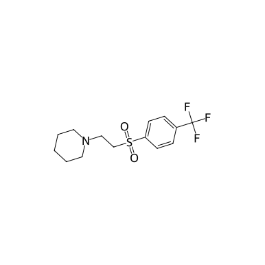 O=S(=O)(CCN1CCCCC1)c1ccc(C(F)(F)F)cc1